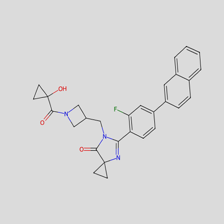 O=C(N1CC(CN2C(=O)C3(CC3)N=C2c2ccc(-c3ccc4ccccc4c3)cc2F)C1)C1(O)CC1